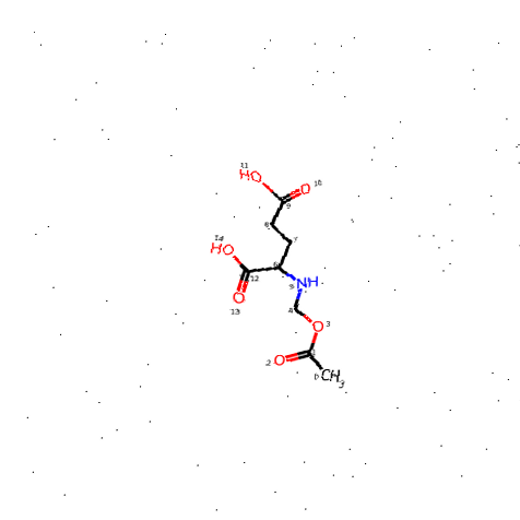 CC(=O)OCNC(CCC(=O)O)C(=O)O